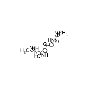 Cc1cc(N/C=C2\C(=O)Nc3ccc(C(=O)c4cccc(NC(=O)c5cnn(C)c5)c4)cc32)[nH]n1